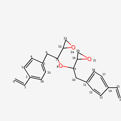 C=Cc1ccc(CC(OC(Cc2ccc(C=C)cc2)C2CO2)C2CO2)cc1